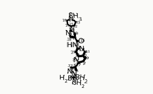 BC(B)(B)n1cc(-c2ccc3cnc(NC(=O)c4cnn(C5CCN(C)CC5)c4)cc3n2)cn1